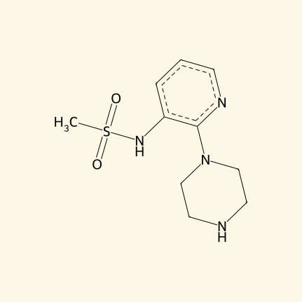 CS(=O)(=O)Nc1cccnc1N1CCNCC1